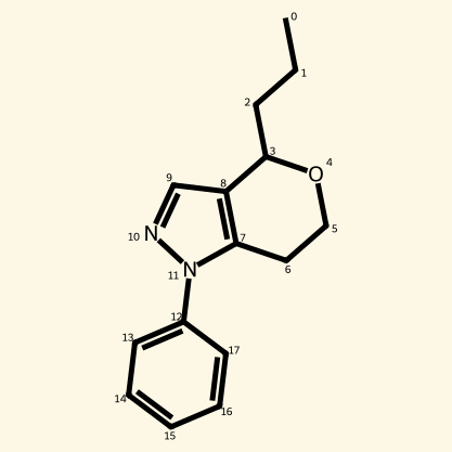 CCCC1OCCc2c1cnn2-c1ccccc1